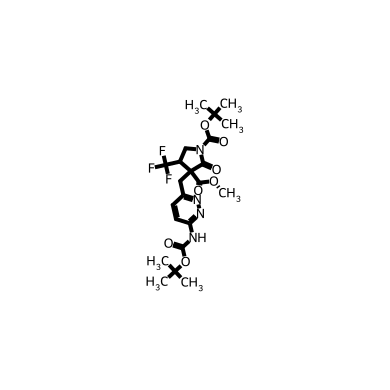 COC(=O)C1(Cc2ccc(NC(=O)OC(C)(C)C)nn2)C(=O)N(C(=O)OC(C)(C)C)CC1C(F)(F)F